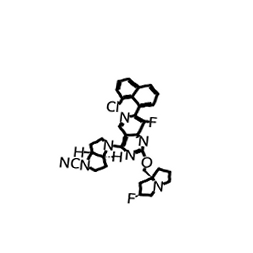 N#CN1CC[C@H]2[C@H]1CCN2c1nc(OC[C@@]23CCCN2C[C@H](F)C3)nc2c(F)c(-c3cccc4cccc(Cl)c34)ncc12